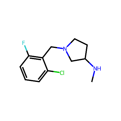 CNC1CCN(Cc2c(F)cccc2Cl)C1